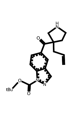 C=CCC1(C(=O)c2ccc3c(cnn3C(=O)OC(C)(C)C)c2)CCNC1